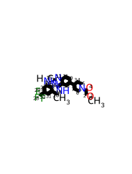 COCC(=O)N1CC=C(c2ccc3nc(C)nc(N[C@H](C)c4cc(N)cc(C(F)(F)F)c4)c3c2)CC1